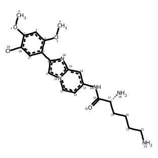 COc1cc(OC)c(-c2cn3ccc(NC(=O)[C@H](N)CCCCN)cc3n2)cc1Cl